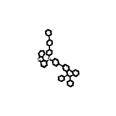 c1ccc(-c2ccc(-c3ccc(N(c4ccc(-c5ccc6c(c5)c(-c5ccccc5)c(-c5ccccc5)c5ccccc56)cc4)c4cccc5sc6ccccc6c45)cc3)cc2)cc1